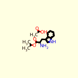 CC(=O)O.CC(C)OC(=O)[C@@H](N)Cc1c[nH]c2ccccc12